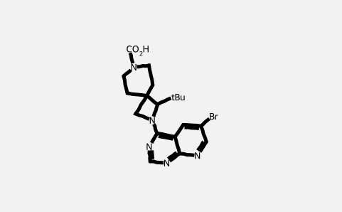 CC(C)(C)C1N(c2ncnc3ncc(Br)cc23)CC12CCN(C(=O)O)CC2